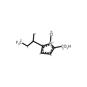 CC(CC(F)(F)F)c1ccc(C(=O)O)n1Cl